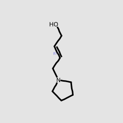 OC/C=C/CN1CCCC1